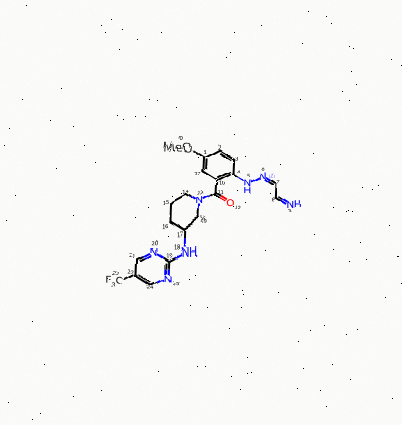 COc1ccc(N/N=C\C=N)c(C(=O)N2CCCC(Nc3ncc(C(F)(F)F)cn3)C2)c1